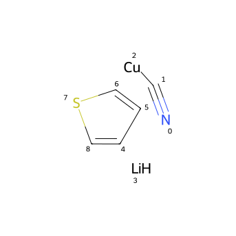 N#[C][Cu].[LiH].c1ccsc1